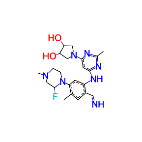 Cc1nc(Nc2cc(N3CCN(C)CC3F)c(C)cc2C=N)cc(N2CC(O)C(O)C2)n1